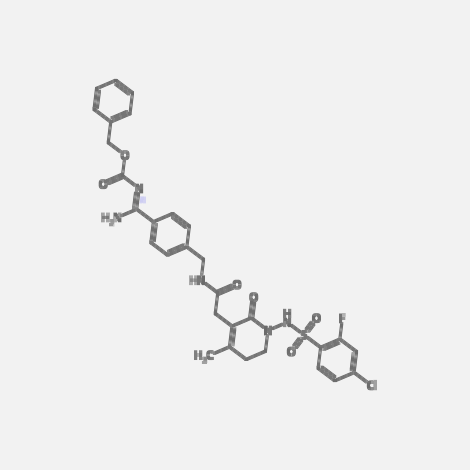 CC1=C(CC(=O)NCc2ccc(/C(N)=N/C(=O)OCc3ccccc3)cc2)C(=O)N(NS(=O)(=O)c2ccc(Cl)cc2F)CC1